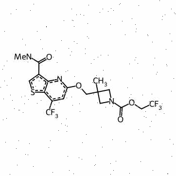 CNC(=O)c1csc2c(C(F)(F)F)cc(OCC3(C)CN(C(=O)OCC(F)(F)F)C3)nc12